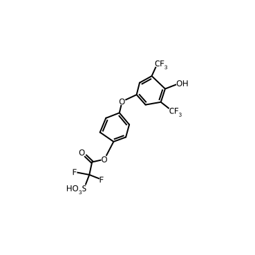 O=C(Oc1ccc(Oc2cc(C(F)(F)F)c(O)c(C(F)(F)F)c2)cc1)C(F)(F)S(=O)(=O)O